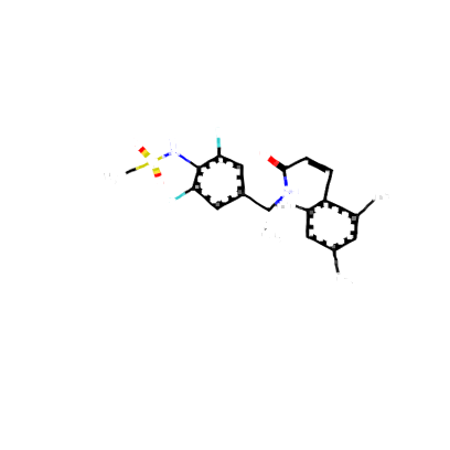 CCCc1cc(C(F)(F)F)cc(CCC)c1/C=C\C(=O)N[C@H](C)c1cc(F)c(NS(C)(=O)=O)c(F)c1